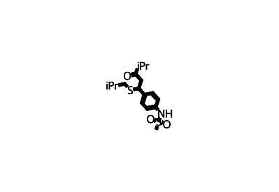 CC(C)CSC(CC(=O)C(C)C)c1ccc(NS(C)(=O)=O)cc1